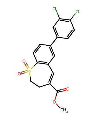 COC(=O)C1=Cc2cc(-c3ccc(Cl)c(Cl)c3)ccc2S(=O)(=O)CC1